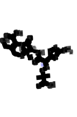 CC(C)(O/N=C(\C(=O)N[C@@H]1C(=O)N2C(C(=O)O)=C(CO)CS[C@H]12)c1nsc(N)n1)C(=O)O